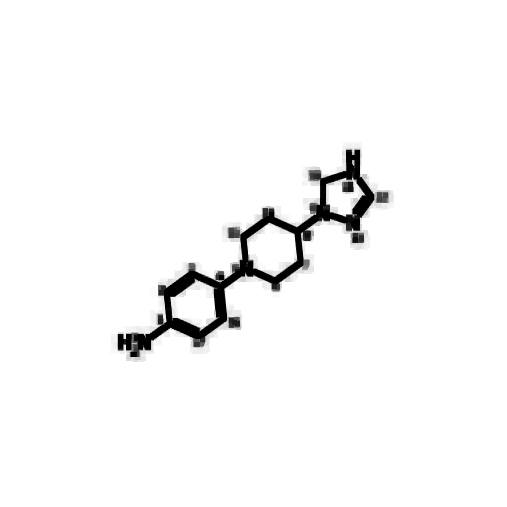 Nc1ccc(N2CCC(N3CNC=N3)CC2)cc1